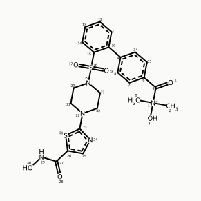 C[N+](C)(O)C(=O)c1ccc(-c2ccccc2S(=O)(=O)N2CCN(c3ncc(C(=O)NO)s3)CC2)cc1